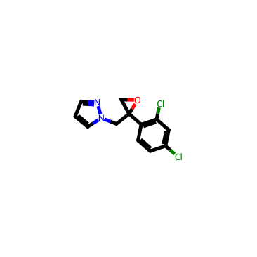 Clc1ccc(C2(Cn3cccn3)CO2)c(Cl)c1